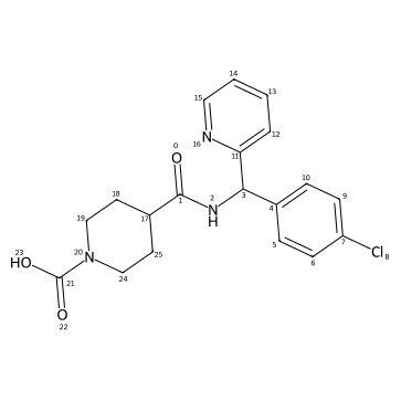 O=C(NC(c1ccc(Cl)cc1)c1ccccn1)C1CCN(C(=O)O)CC1